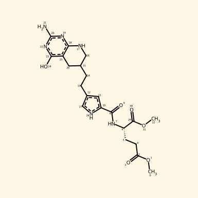 COC(=O)CC[C@H](NC(=O)c1cc(CCC2CNc3nc(N)nc(O)c3C2)c[nH]1)C(=O)OC